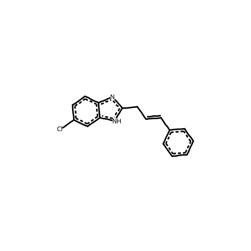 Clc1ccc2nc(CC=Cc3ccccc3)[nH]c2c1